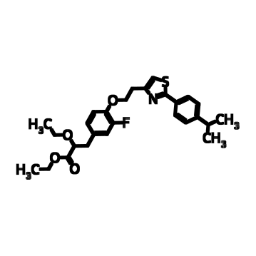 CCOC(=O)C(Cc1ccc(OCCc2csc(-c3ccc(C(C)C)cc3)n2)c(F)c1)OCC